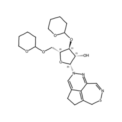 O[C@H]1[C@H](OC2CCCCO2)[C@@H](COC2CCCCO2)O[C@H]1N1C=C2CCC3=C2C(=N1)C=NSC3